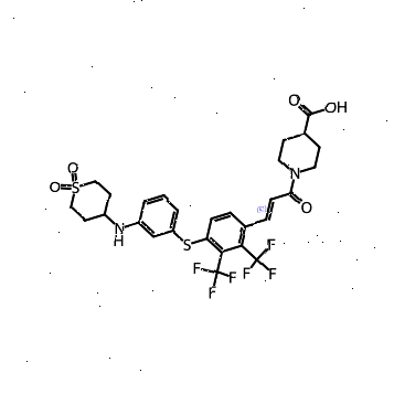 O=C(O)C1CCN(C(=O)/C=C/c2ccc(Sc3cccc(NC4CCS(=O)(=O)CC4)c3)c(C(F)(F)F)c2C(F)(F)F)CC1